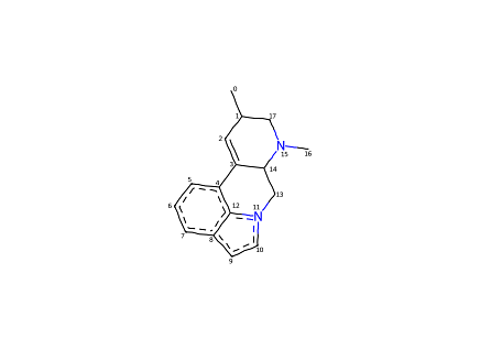 CC1C=C2c3cccc4ccn(c34)CC2N(C)C1